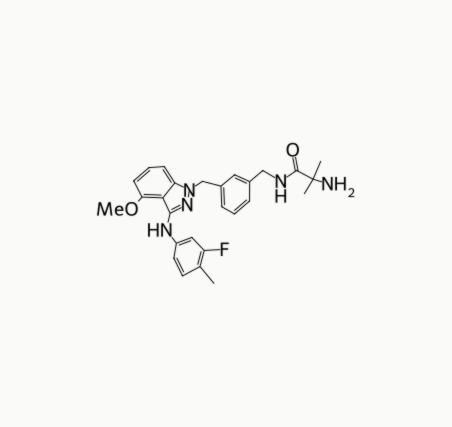 COc1cccc2c1c(Nc1ccc(C)c(F)c1)nn2Cc1cccc(CNC(=O)C(C)(C)N)c1